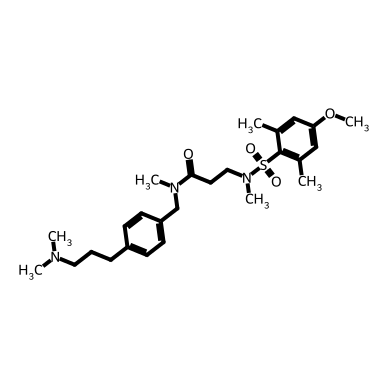 COc1cc(C)c(S(=O)(=O)N(C)CCC(=O)N(C)Cc2ccc(CCCN(C)C)cc2)c(C)c1